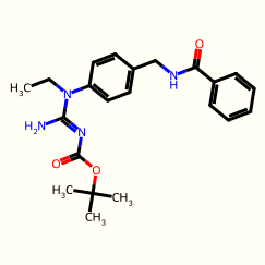 CCN(C(N)=NC(=O)OC(C)(C)C)c1ccc(CNC(=O)c2ccccc2)cc1